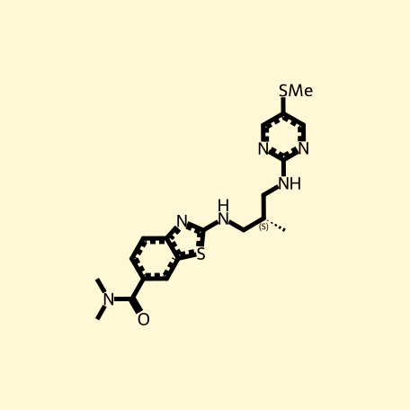 CSc1cnc(NC[C@H](C)CNc2nc3ccc(C(=O)N(C)C)cc3s2)nc1